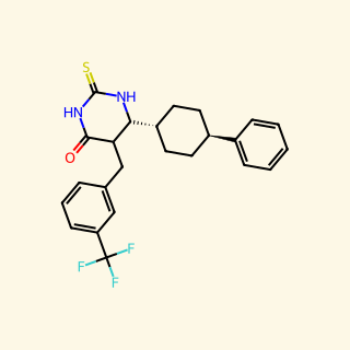 O=C1NC(=S)NC([C@H]2CC[C@H](c3ccccc3)CC2)C1Cc1cccc(C(F)(F)F)c1